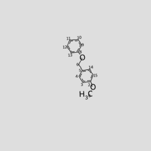 COc1ccc(COc2ccccc2)cc1